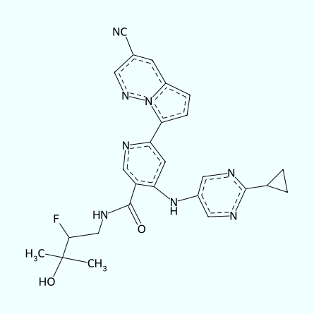 CC(C)(O)C(F)CNC(=O)c1cnc(-c2ccc3cc(C#N)cnn23)cc1Nc1cnc(C2CC2)nc1